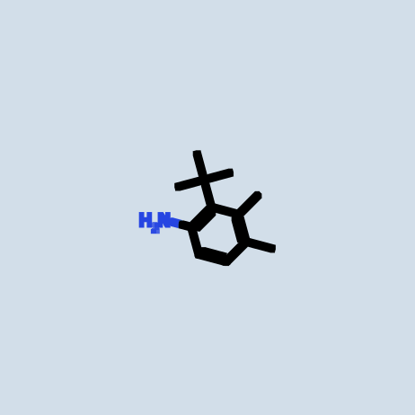 Cc1ccc(N)c(C(C)(C)C)c1C